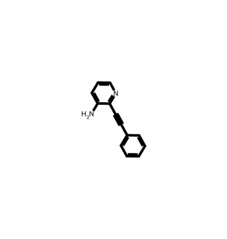 Nc1cccnc1C#Cc1ccccc1